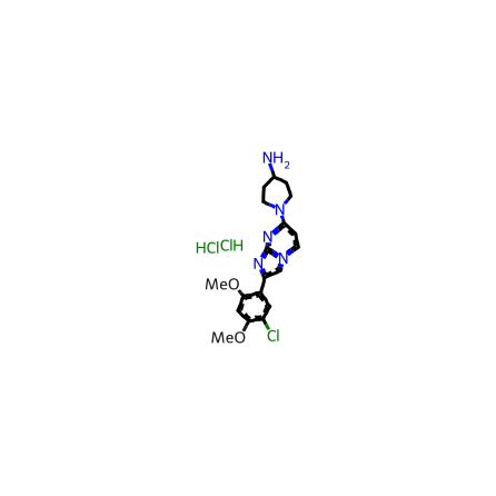 COc1cc(OC)c(-c2cn3ccc(N4CCC(N)CC4)nc3n2)cc1Cl.Cl.Cl